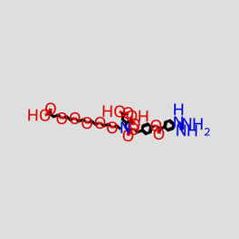 N=C(N)Nc1ccc(C(=O)Oc2ccc(COC(=O)N(CCOCCOCCOCCOCCOCCC(=O)O)C(CC(=O)O)C(=O)O)cc2)cc1